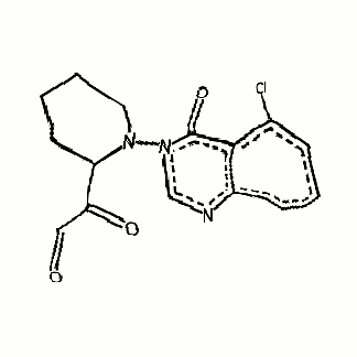 O=CC(=O)C1CCCCN1n1cnc2cccc(Cl)c2c1=O